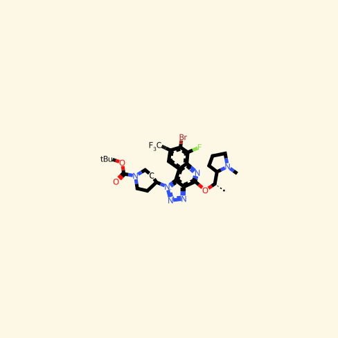 C[C@H](Oc1nc2c(F)c(Br)c(C(F)(F)F)cc2c2c1nnn2C1CCN(C(=O)OC(C)(C)C)CC1)C1CCCN1C